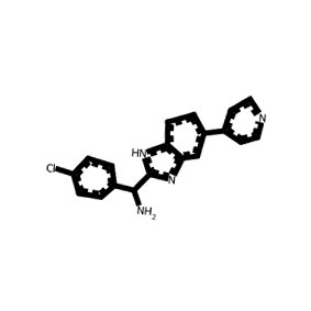 NC(c1ccc(Cl)cc1)c1nc2cc(-c3ccncc3)ccc2[nH]1